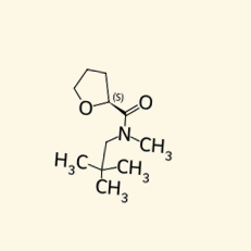 CN(CC(C)(C)C)C(=O)[C@@H]1CCCO1